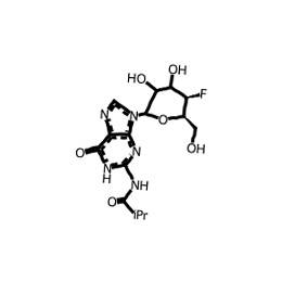 CC(C)C(=O)Nc1nc2c(ncn2C2O[C@H](CO)[C@H](F)C(O)C2O)c(=O)[nH]1